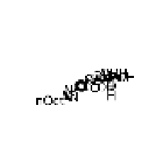 CCCCCCCCc1cnc(-c2ccc(OC(=O)C(O)C(O)C(O)C(O)C(O)CO)cc2)nc1